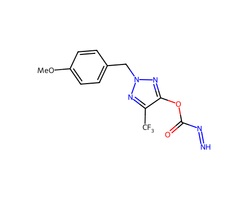 COc1ccc(Cn2nc(OC(=O)N=N)c(C(F)(F)F)n2)cc1